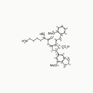 CCCCN(CCCCN)C(=O)CN1C[C@H](c2cc(OC)c3c(c2)OCO3)[C@@H](C(=O)O)[C@@H]1COc1ccccc1OC